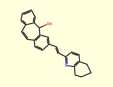 OC1c2ccccc2C=Cc2ccc(/C=C/c3ccc4c(n3)CCCC4)cc21